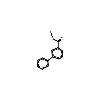 O=C(OF)c1cccc(-c2cccnc2)c1